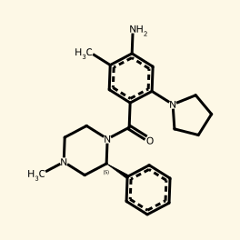 Cc1cc(C(=O)N2CCN(C)C[C@@H]2c2ccccc2)c(N2CCCC2)cc1N